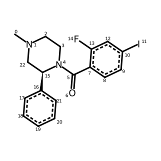 CN1CCN(C(=O)c2ccc(I)cc2F)[C@@H](c2ccccc2)C1